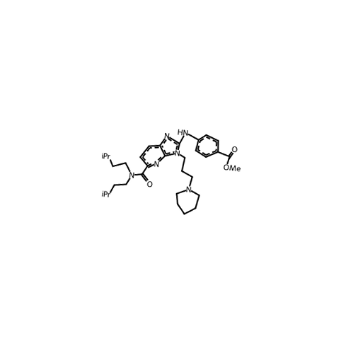 COC(=O)c1ccc(Nc2nc3ccc(C(=O)N(CCC(C)C)CCC(C)C)nc3n2CCCN2CCCCC2)cc1